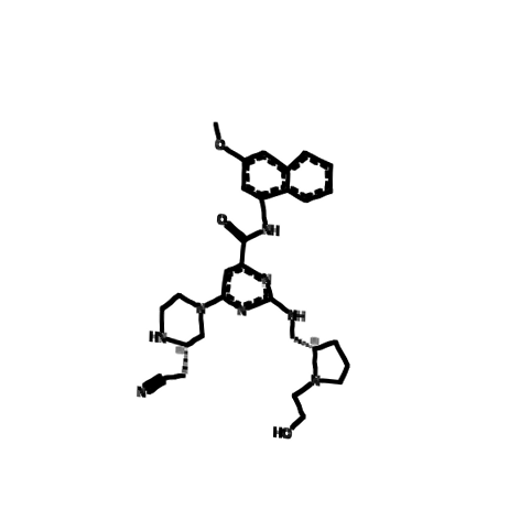 COc1cc(NC(=O)c2cc(N3CCN[C@@H](CC#N)C3)nc(NC[C@@H]3CCCN3CCO)n2)c2ccccc2c1